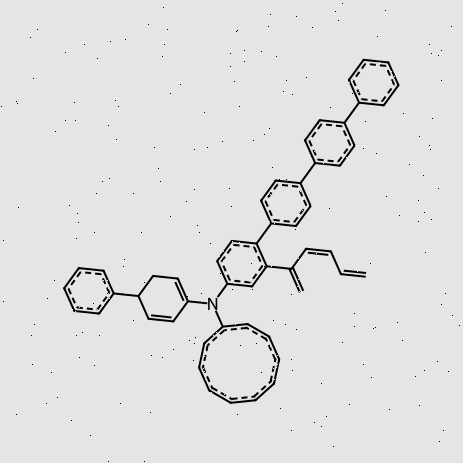 C=C/C=C\C(=C)c1cc(N(C2=CCC(c3ccccc3)C=C2)c2ccccccccc2)ccc1-c1ccc(-c2ccc(-c3ccccc3)cc2)cc1